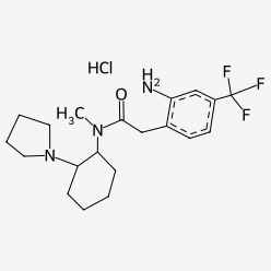 CN(C(=O)Cc1ccc(C(F)(F)F)cc1N)C1CCCCC1N1CCCC1.Cl